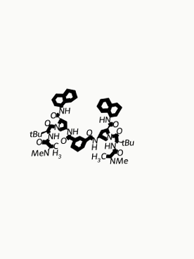 CN[C@@H](C)C(=O)N[C@H](C(=O)N1C[C@@H](NC(=O)c2cccc(C(=O)N[C@H]3C[C@@H](C(=O)N[C@@H]4CCCc5ccccc54)N(C(=O)[C@@H](NC(=O)[C@H](C)NC)C(C)(C)C)C3)c2)C[C@H]1C(=O)NC1CCCc2ccccc21)C(C)(C)C